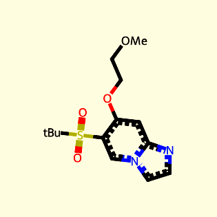 COCCOc1cc2nccn2cc1S(=O)(=O)C(C)(C)C